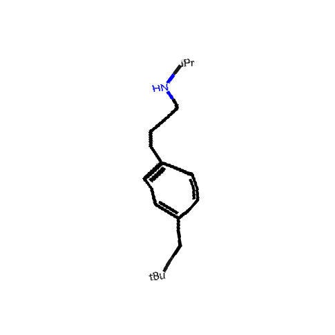 CC(C)NCCc1ccc(CC(C)(C)C)cc1